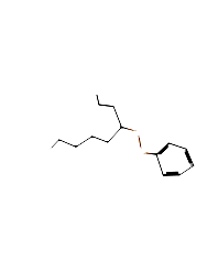 [3H]CCC(CCCCC(=O)O)SSc1ccccc1